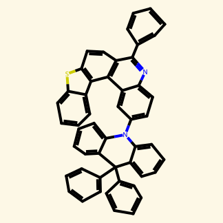 c1ccc(-c2nc3ccc(N4c5ccccc5C(c5ccccc5)(c5ccccc5)c5ccccc54)cc3c3c2ccc2sc4ccccc4c23)cc1